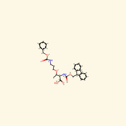 CC(OCCCNC(=O)OCc1ccccc1)C(NC(=O)OCC1c2ccccc2-c2ccccc21)C(=O)O